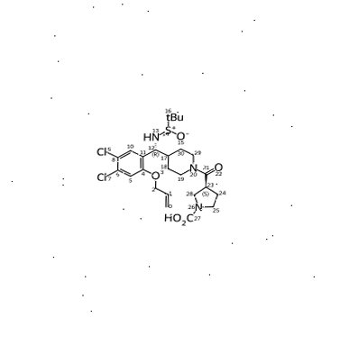 C=CCOc1cc(Cl)c(Cl)cc1[C@H](N[S+]([O-])C(C)(C)C)C1CCN(C(=O)[C@H]2CCN(C(=O)O)C2)CC1